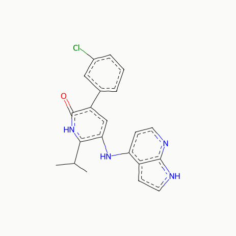 CC(C)c1[nH]c(=O)c(-c2cccc(Cl)c2)cc1Nc1ccnc2[nH]ccc12